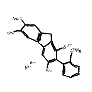 COc1ccccc1-c1c(C(C)(C)C)cc2c([c]1[Zr+2])Cc1cc(OC)c(C(C)(C)C)cc1-2.[Br-].[Br-]